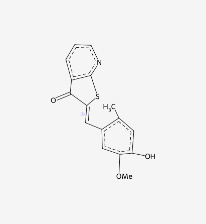 COc1cc(/C=C2\Sc3ncccc3C2=O)c(C)cc1O